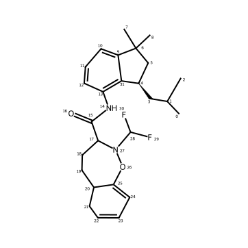 CC(C)C[C@@H]1CC(C)(C)c2cccc(NC(=O)C3CCC4CC=CC=C4ON3C(F)F)c21